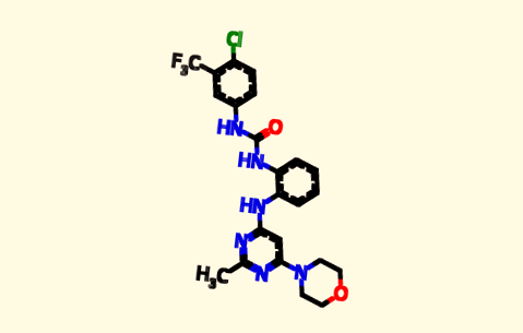 Cc1nc(Nc2ccccc2NC(=O)Nc2ccc(Cl)c(C(F)(F)F)c2)cc(N2CCOCC2)n1